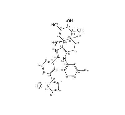 C[C@H]1C(O)C(C#N)=C[C@@]2(C)c3nc(-c4cccc(-c5ccnn5C)c4)n(-c4cccc(F)c4)c3CC[C@H]12